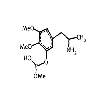 COc1cc(CC(C)N)cc(OP(O)OC)c1OC